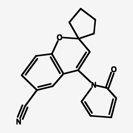 N#Cc1ccc2c(c1)C(n1ccccc1=O)=CC1(CCCC1)O2